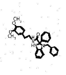 COc1ccc(CCNC(=O)C2(c3ccccc3)Nc3ccccc3N2Cc2ccccc2)cc1OC